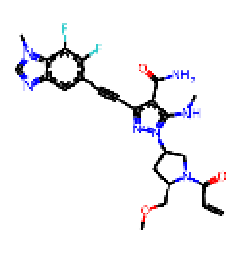 C=CC(=O)N1CC(n2nc(C#Cc3cc4ncn(C)c4c(F)c3F)c(C(N)=O)c2NC)C[C@@H]1COC